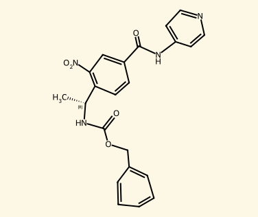 C[C@@H](NC(=O)OCc1ccccc1)c1ccc(C(=O)Nc2ccncc2)cc1[N+](=O)[O-]